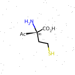 CC(=O)[C@](N)(CCS)C(=O)O